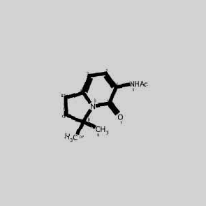 CC(=O)Nc1ccc2n(c1=O)C(C)(C)CC2